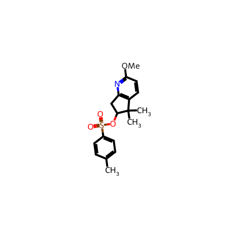 COc1ccc2c(n1)CC(OS(=O)(=O)c1ccc(C)cc1)C2(C)C